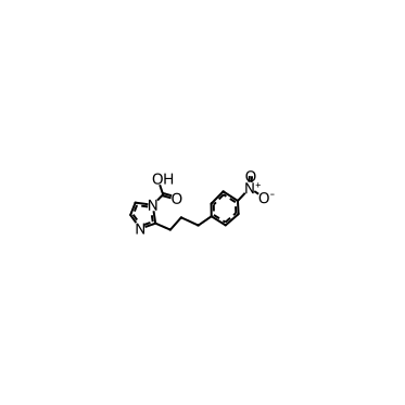 O=C(O)n1ccnc1CCCc1ccc([N+](=O)[O-])cc1